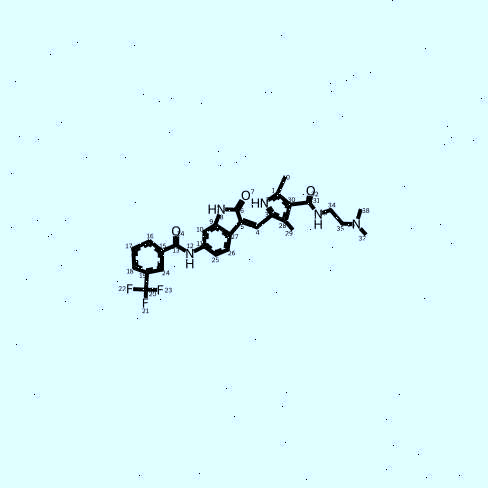 Cc1[nH]c(C=C2C(=O)Nc3cc(NC(=O)c4cccc(C(F)(F)F)c4)ccc32)c(C)c1C(=O)NCCN(C)C